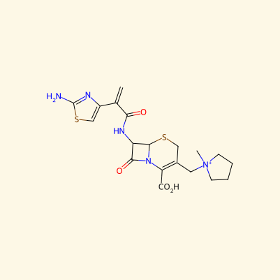 C=C(C(=O)NC1C(=O)N2C(C(=O)O)=C(C[N+]3(C)CCCC3)CSC12)c1csc(N)n1